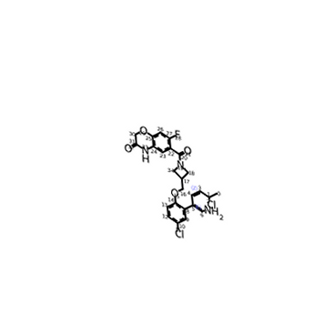 CC(Cl)/C=C\C(=C/N)c1cc(Cl)ccc1OCC1CN(C(=O)c2cc3c(cc2F)OCC(=O)N3)C1